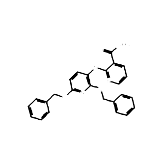 COC(=O)c1cccnc1Nc1ccc(OCc2ccccc2)nc1OCc1ccccc1